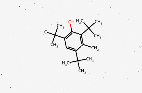 Cc1c(C(C)(C)C)cc(C(C)(C)C)c(O)c1C(C)(C)C